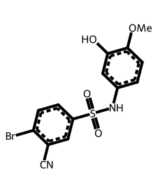 COc1ccc(NS(=O)(=O)c2ccc(Br)c(C#N)c2)cc1O